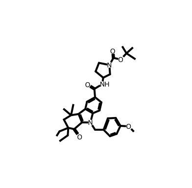 CCC1(CC)CC(C)(C)c2c(n(Cc3ccc(OC)cc3)c3ccc(C(=O)NC4CCN(C(=O)OC(C)(C)C)C4)cc23)C1=O